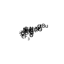 CC(C)(C)OC(=O)N1CCC(c2cc(=O)[nH]c3c(-c4nc(-c5cccc(C(F)(F)F)c5)no4)cnn23)CC1